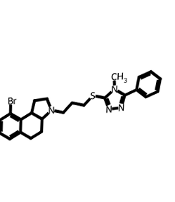 Cn1c(SCCCN2CCC3c4c(Br)cccc4CCC32)nnc1-c1ccccc1